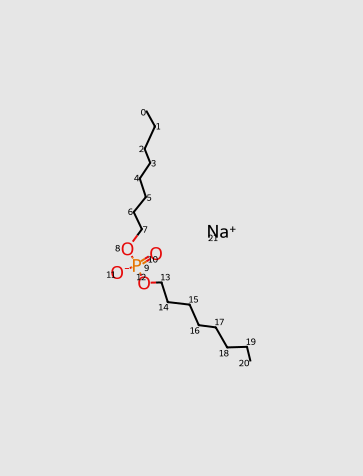 CCCCCCCCOP(=O)([O-])OCCCCCCCC.[Na+]